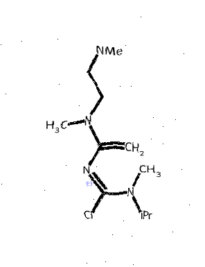 C=C(/N=C(/Cl)N(C)C(C)C)N(C)CCNC